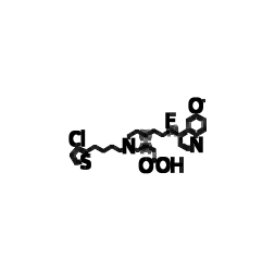 COc1ccc2nccc([C@@H](F)CC[C@@H]3CCN(CCCCc4sccc4Cl)C[C@@H]3CC(=O)O)c2c1